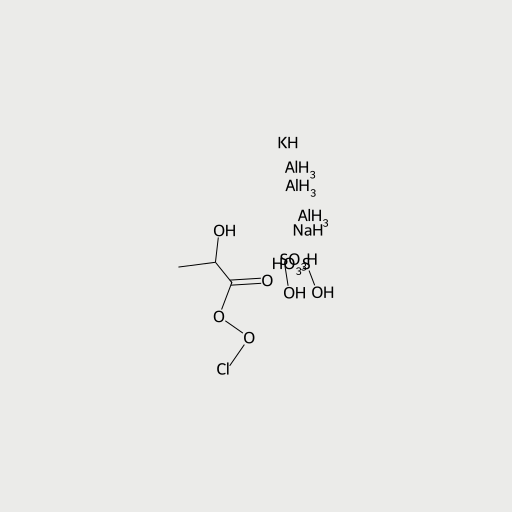 CC(O)C(=O)OOCl.O=S(=O)(O)O.O=S(=O)(O)O.[AlH3].[AlH3].[AlH3].[KH].[NaH]